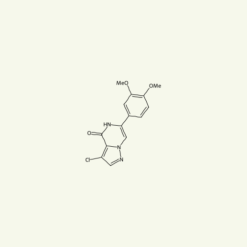 COc1ccc(-c2cn3ncc(Cl)c3c(=O)[nH]2)cc1OC